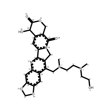 CN(CCO)CCN(C)Cc1c2c(nc3cc4c(cc13)OCO4)-c1cc3c(c(=O)n1C2)COC(=O)C3O